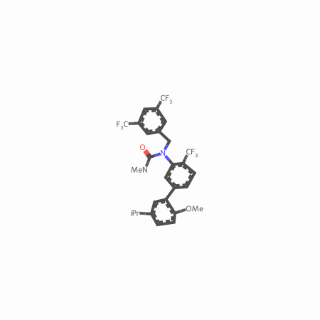 CNC(=O)N(Cc1cc(C(F)(F)F)cc(C(F)(F)F)c1)c1cc(-c2cc(C(C)C)ccc2OC)ccc1C(F)(F)F